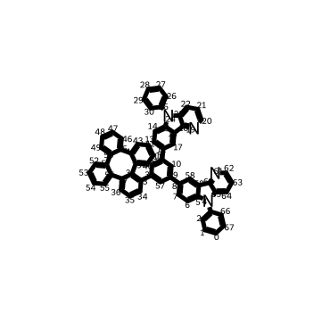 c1ccc(-n2c3ccc(-c4cc(-c5ccc6c(c5)c5ncccc5n6-c5ccccc5)cc(-c5cccc6c5-c5ccccc5-c5ccccc5-c5ccccc5-6)c4)cc3c3ncccc32)cc1